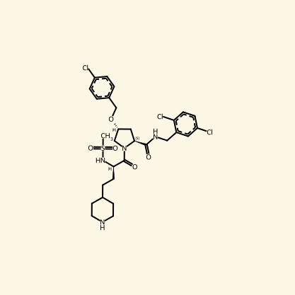 CS(=O)(=O)N[C@H](CCC1CCNCC1)C(=O)N1C[C@H](OCc2ccc(Cl)cc2)C[C@H]1C(=O)NCc1cc(Cl)ccc1Cl